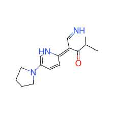 CC(C)C(=O)/C(C=N)=C1\C=CC(N2CCCC2)=CN1